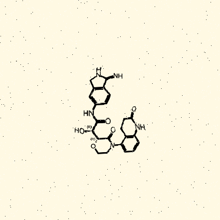 N=C1NCc2cc(NC(=O)[C@H](O)[C@H]3OCCN(c4cccc5c4CCC(=O)N5)C3=O)ccc21